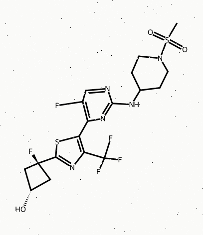 CS(=O)(=O)N1CCC(Nc2ncc(F)c(-c3sc([C@]4(F)C[C@H](O)C4)nc3C(F)(F)F)n2)CC1